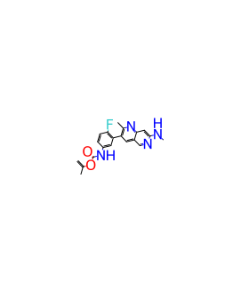 C=C(C)OC(=O)Nc1ccc(F)c(-c2cc3cnc(NC)cc3nc2C)c1